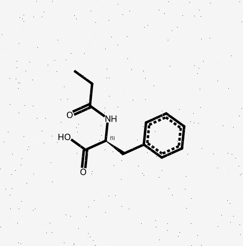 CCC(=O)N[C@@H](Cc1ccccc1)C(=O)O